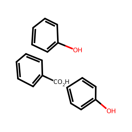 O=C(O)c1ccccc1.Oc1ccccc1.Oc1ccccc1